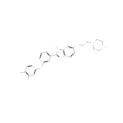 CCCCn1c(-c2cccc(Oc3ccc(F)c(C(F)(F)F)c3)c2)nc2ccc(OCCN3CCNCC3)cc21